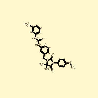 CC1(C)C(=O)N(c2ccc(SC(F)(F)F)cc2)C(=O)N1Cc1ccnc(NC(=S)Nc2cccc(C(=O)O)c2)c1